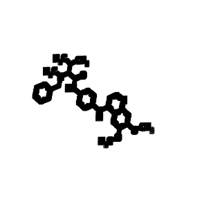 COc1cc2nccc(Nc3ccc(NC(=O)C(C(C)C)N(C)Cc4ccccc4)cc3)c2cc1OC